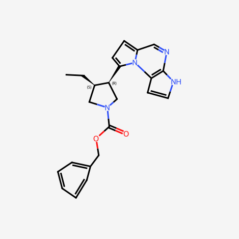 CC[C@@H]1CN(C(=O)OCc2ccccc2)C[C@@H]1c1ccc2cnc3[nH]ccc3n12